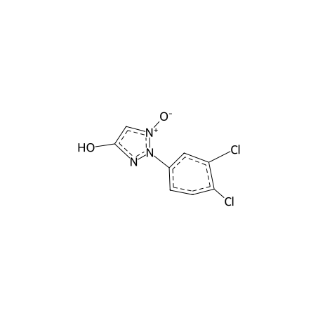 [O-][n+]1cc(O)nn1-c1ccc(Cl)c(Cl)c1